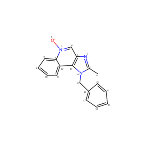 Cc1nc2c[n+]([O-])c3ccccc3c2n1Cc1ccccc1